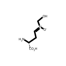 N[C@H](CC=[P+]([O-])CO)C(=O)O